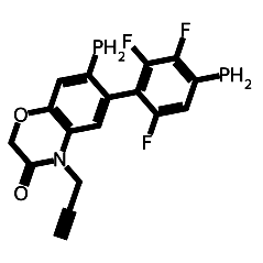 C#CCN1C(=O)COc2cc(P)c(-c3c(F)cc(P)c(F)c3F)cc21